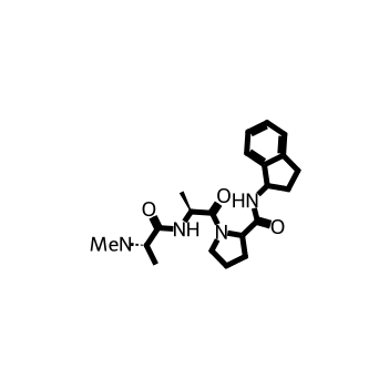 CN[C@@H](C)C(=O)N[C@@H](C)C(=O)N1CCCC1C(=O)NC1CCc2ccccc21